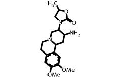 COc1cc2c(cc1OC)C1CC(N)C(N3CC(C)OC3=O)CN1CC2